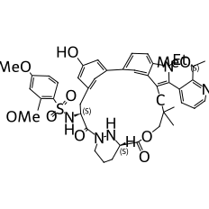 CCn1c(-c2cccnc2[C@H](C)OC)c2c3cc(ccc31)-c1cc(O)cc(c1)C[C@H](NS(=O)(=O)c1ccc(OC)cc1OC)C(=O)N1CCC[C@H](N1)C(=O)OCC(C)(C)C2